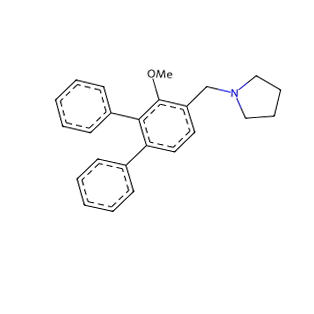 COc1c(CN2CCCC2)ccc(-c2ccccc2)c1-c1ccccc1